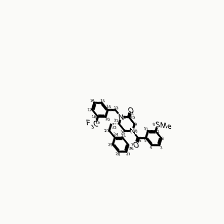 CSc1cccc(C(=O)N2CC(=O)N(Cc3cccc(C(F)(F)F)c3)[C@@H](CCc3ccccc3)C2)c1